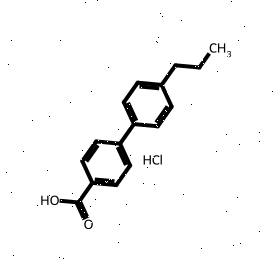 CCCc1ccc(-c2ccc(C(=O)O)cc2)cc1.Cl